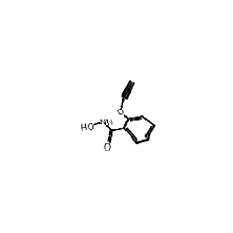 C#COc1ccccc1C(=O)NO